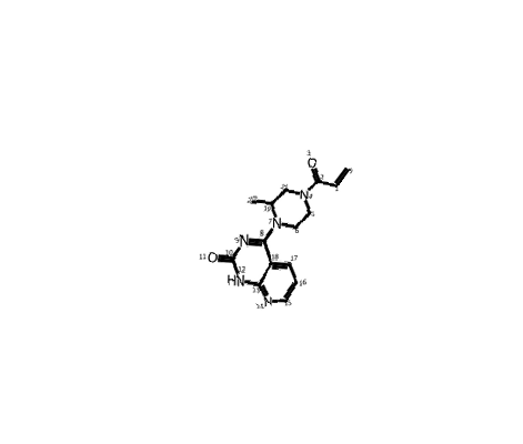 C=CC(=O)N1CCN(c2nc(=O)[nH]c3ncccc23)C(C)C1